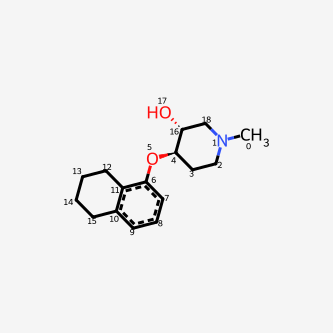 CN1CC[C@@H](Oc2cccc3c2CCCC3)[C@H](O)C1